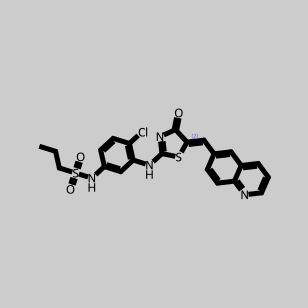 CCCS(=O)(=O)Nc1ccc(Cl)c(NC2=NC(=O)/C(=C/c3ccc4ncccc4c3)S2)c1